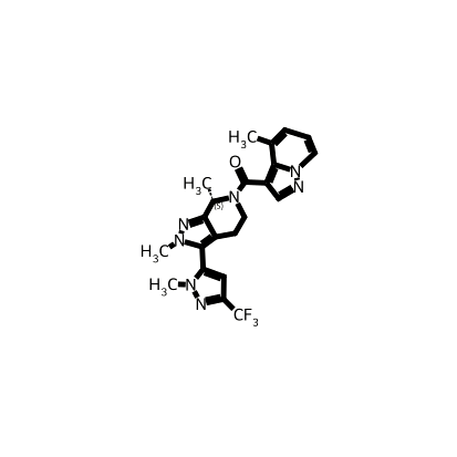 Cc1cccn2ncc(C(=O)N3CCc4c(nn(C)c4-c4cc(C(F)(F)F)nn4C)[C@@H]3C)c12